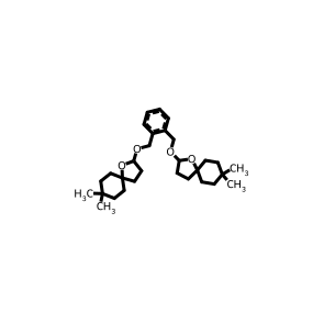 CC1(C)CCC2(CCC(OCc3ccccc3COC3CCC4(CCC(C)(C)CC4)O3)O2)CC1